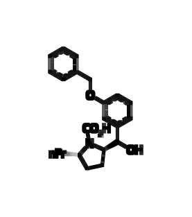 CCC[C@H]1CC[C@H](C(O)c2cccc(OCc3ccccc3)c2)N1C(=O)O